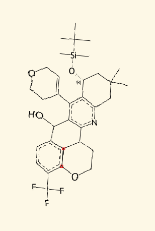 CC1(C)Cc2nc(C3CCOCC3)c(C(O)c3ccc(C(F)(F)F)cc3)c(C3=CCOCC3)c2[C@H](O[Si](C)(C)C(C)(C)C)C1